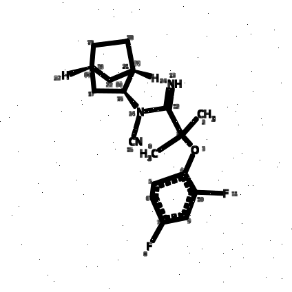 CC(C)(Oc1ccc(F)cc1F)C(=N)N(C#N)[C@H]1C[C@@H]2CC[C@H]1C2